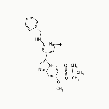 COc1cc2ncc(-c3cc(F)nc(NCc4ccccc4)c3)n2cc1S(=O)(=O)C(C)(C)C